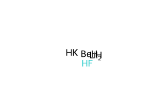 F.[BeH2].[KH].[LiH]